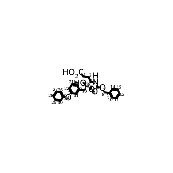 O=C(O)CCC(NC(=O)OCc1ccccc1)P(=O)(O)Cc1cccc(Oc2ccccc2)c1